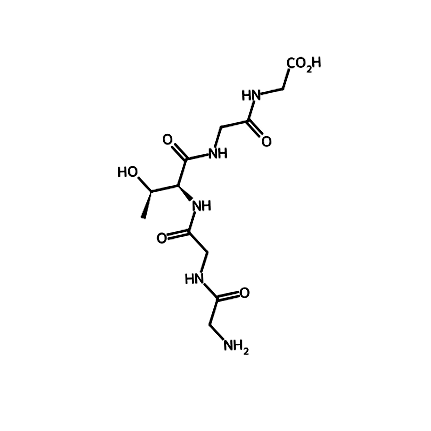 C[C@@H](O)[C@H](NC(=O)CNC(=O)CN)C(=O)NCC(=O)NCC(=O)O